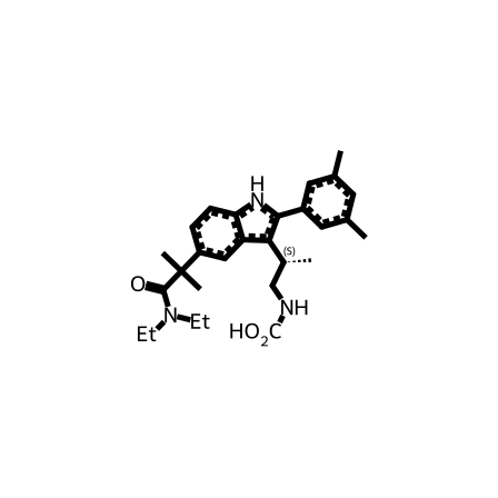 CCN(CC)C(=O)C(C)(C)c1ccc2[nH]c(-c3cc(C)cc(C)c3)c([C@H](C)CNC(=O)O)c2c1